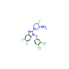 NC1CN(c2nc3cc(F)c(F)cc3n2Cc2ccc(Cl)c(Cl)c2)CCC1F